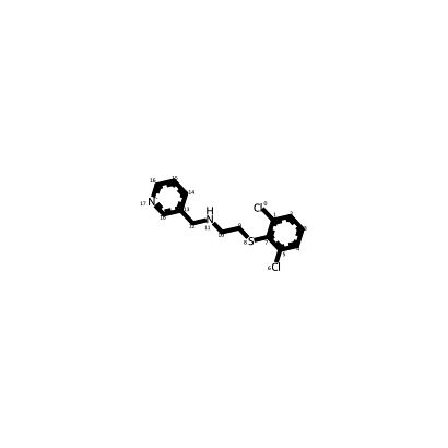 Clc1cccc(Cl)c1SCCNCc1cccnc1